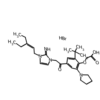 Br.CCC(=CCn1ccn(CC(=O)c2cc(N3CCCC3)c(OCC(=O)O)c(C(C)(C)C)c2)c1=N)CC